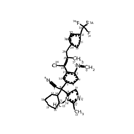 C=Nc1ccc(C(C#N)(c2cnc(C)n2C)C2CCCCC2)cc1/C(Cl)=C(\C)Cc1ccc(C(F)(F)F)cc1